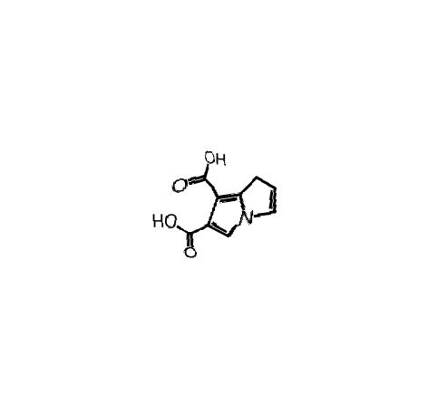 O=C(O)c1cn2c(c1C(=O)O)CC=C2